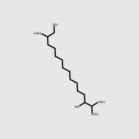 CCCCCCCCC(CCCCCCCC)C(O)CCCCCCCCCCC(CO)CCCCCC